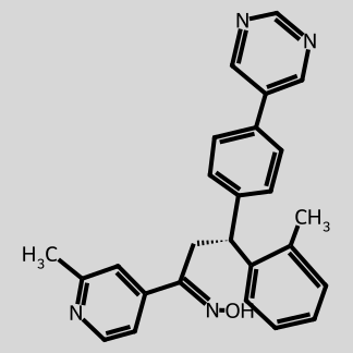 Cc1cc(/C(C[C@H](c2ccc(-c3cncnc3)cc2)c2ccccc2C)=N/O)ccn1